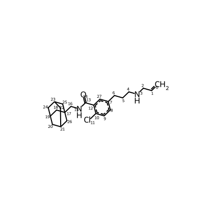 C=CCNCCCc1ccc(Cl)c(C(=O)NCC23CC4CC(CC(C4)C2)C3)c1